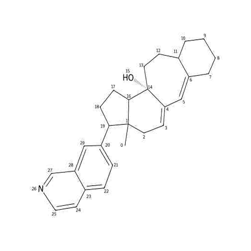 CC12CC=C3C=C4CCCCC4CC[C@]3(O)C1CCC2c1ccc2ccncc2c1